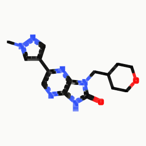 Cn1cc(-c2cnc3[nH]c(=O)n(CC4CCOCC4)c3n2)cn1